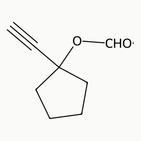 C#CC1(O[C]=O)CCCC1